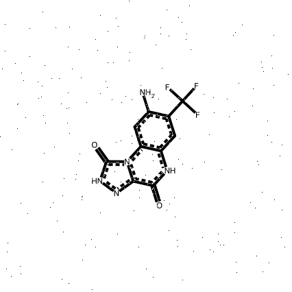 Nc1cc2c(cc1C(F)(F)F)[nH]c(=O)c1n[nH]c(=O)n12